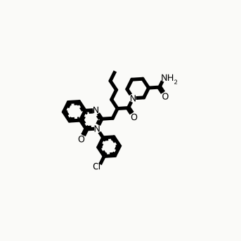 CCCCC(Cc1nc2ccccc2c(=O)n1-c1cccc(Cl)c1)C(=O)N1CCCC(C(N)=O)C1